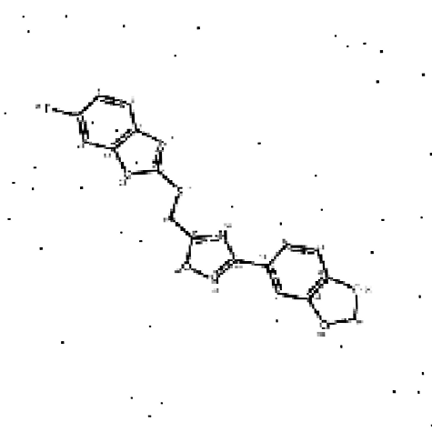 Fc1ccc2nc(SCc3nc(-c4ccc5c(c4)OCO5)no3)oc2c1